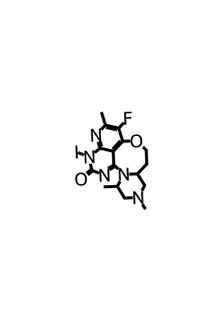 Cc1nc2c3c(nc(=O)n2I)N2C(C)CN(C)CC2CCOc3c1F